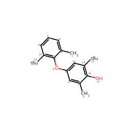 Cc1cc(Oc2c(C)cccc2C(C)(C)C)cc(C(C)(C)C)c1O